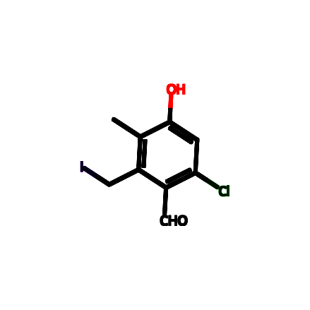 Cc1c(O)cc(Cl)c(C=O)c1CI